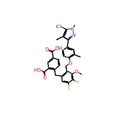 COc1c(F)c(F)cc(Cc2ccc(C(=O)O)cc2C(=O)O)c1COc1ccc(-c2nn(C)c(Cl)c2C)cc1C